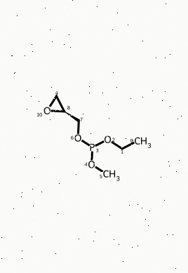 CCOP(OC)OC[C@@H]1CO1